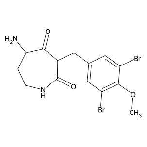 COc1c(Br)cc(CC2C(=O)NCCC(N)C2=O)cc1Br